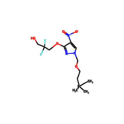 C[Si](C)(C)CCOCn1cc([N+](=O)[O-])c(OCC(F)(F)CO)n1